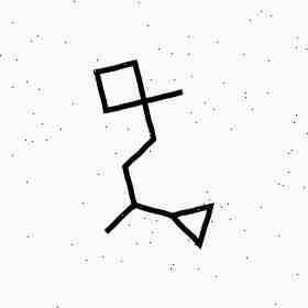 C[C](CCC1(C)CCC1)C1CC1